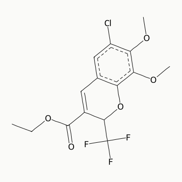 CCOC(=O)C1=Cc2cc(Cl)c(OC)c(OC)c2OC1C(F)(F)F